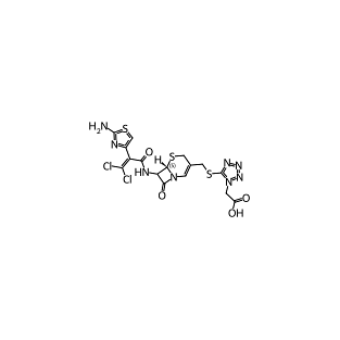 Nc1nc(C(C(=O)NC2C(=O)N3C=C(CSc4nnnn4CC(=O)O)CS[C@@H]23)=C(Cl)Cl)cs1